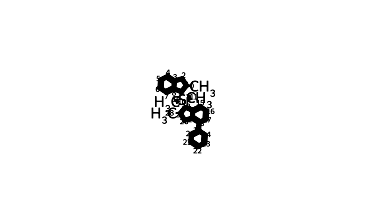 C[C@@H]1Cc2ccccc2C1[Si](C)(C)C1c2cccc(-c3ccccc3)c2C[C@@H]1C